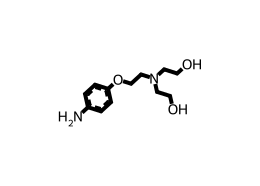 Nc1ccc(OCCN(CCO)CCO)cc1